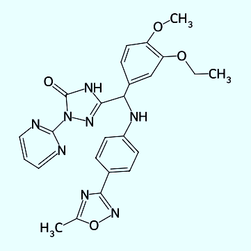 CCOc1cc(C(Nc2ccc(-c3noc(C)n3)cc2)c2nn(-c3ncccn3)c(=O)[nH]2)ccc1OC